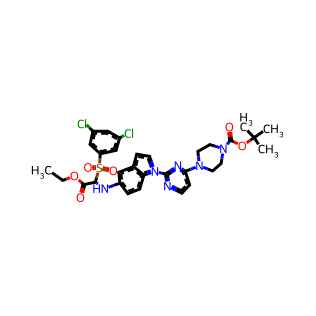 CCOC(=O)C(Nc1ccc2c(ccn2-c2nccc(N3CCN(C(=O)OC(C)(C)C)CC3)n2)c1)S(=O)(=O)c1cc(Cl)cc(Cl)c1